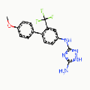 COc1ccc(-c2ccc(Nc3n[nH]c(N)n3)cc2C(F)(F)F)cc1